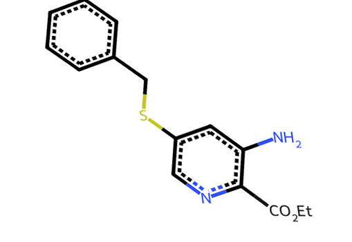 CCOC(=O)c1ncc(SCc2ccccc2)cc1N